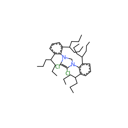 CCCC(CCC)c1cccc(C(CCC)CCC)c1N1CN(c2c(C(CCC)CCC)cccc2C(CCC)CCC)C(Cl)=C1Cl